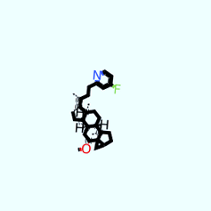 CO[C@@H]1C[C@H]2[C@@H]3CC[C@H]([C@H](C)CCc4cc(F)ccn4)[C@@]3(C)CC[C@@H]2[C@@]2(C)CCC3CC312